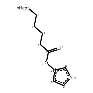 CCCCCCCCCCCC(=O)On1ccnc1